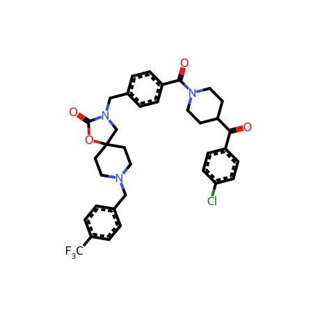 O=C(c1ccc(Cl)cc1)C1CCN(C(=O)c2ccc(CN3CC4(CCN(Cc5ccc(C(F)(F)F)cc5)CC4)OC3=O)cc2)CC1